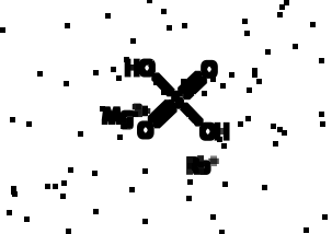 O=S(=O)(O)O.[Mg+2].[Rb+]